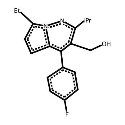 CCc1ccc2c(-c3ccc(F)cc3)c(CO)c(C(C)C)nn12